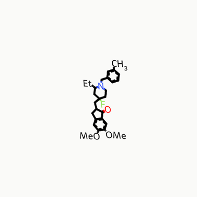 CCC1CC(F)(CC2Cc3cc(OC)c(OC)cc3C2=O)CCN1Cc1cccc(C)c1